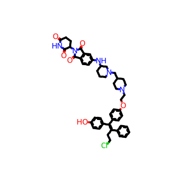 O=C1CCC(N2C(=O)c3ccc(NC4CCCN(CC5CCN(CCOc6ccc(C(=C(CCCl)c7ccccc7)c7ccc(O)cc7)cc6)CC5)C4)cc3C2=O)C(=O)N1